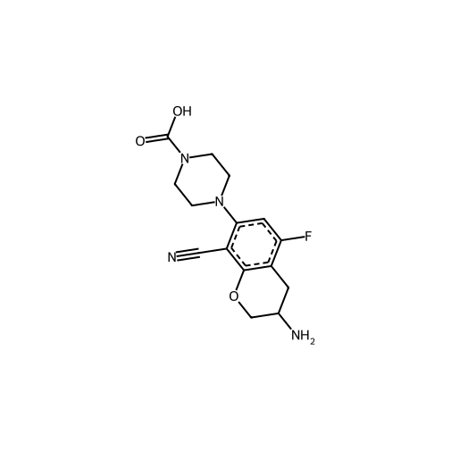 N#Cc1c(N2CCN(C(=O)O)CC2)cc(F)c2c1OCC(N)C2